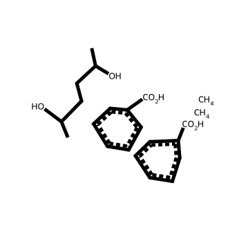 C.C.CC(O)CCC(C)O.O=C(O)c1ccccc1.O=C(O)c1ccccc1